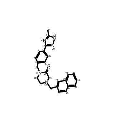 Cc1nc(-c2ccc(CN3CCN(Cc4ccc5ccccc5c4)CC3=O)cc2)no1